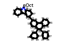 CCCCCCCCn1c2ccccc2c2cc(-c3ccc4c(-c5ccccc5)c(-c5ccccc5)c5ccccc5c4c3)ccc21